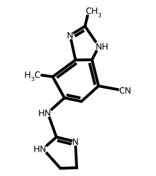 Cc1nc2c(C)c(NC3=NCCN3)cc(C#N)c2[nH]1